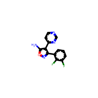 Nc1onc(-c2cccc(F)c2F)c1-c1ccncn1